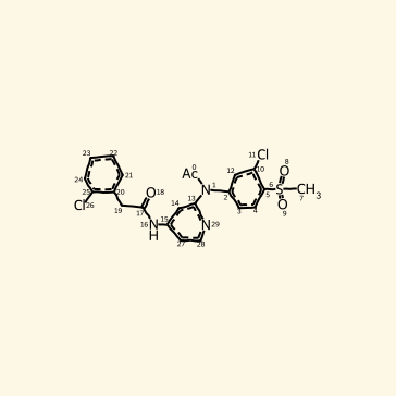 CC(=O)N(c1ccc(S(C)(=O)=O)c(Cl)c1)c1cc(NC(=O)Cc2ccccc2Cl)ccn1